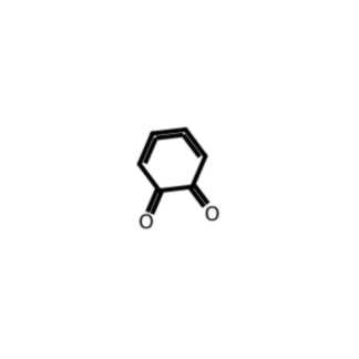 O=C1C=C=C=CC1=O